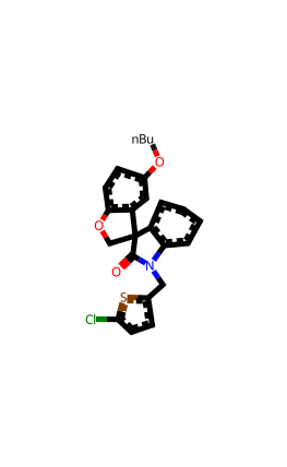 CCCCOc1ccc2c(c1)C1(CO2)C(=O)N(Cc2ccc(Cl)s2)c2ccccc21